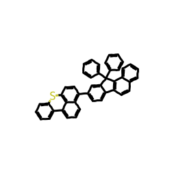 c1ccc(C2(c3ccccc3)c3cc(-c4ccc5c6c(cccc46)-c4ccccc4S5)ccc3-c3ccc4ccccc4c32)cc1